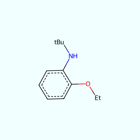 CCOc1ccccc1NC(C)(C)C